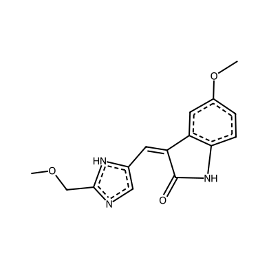 COCc1ncc(/C=C2\C(=O)Nc3ccc(OC)cc32)[nH]1